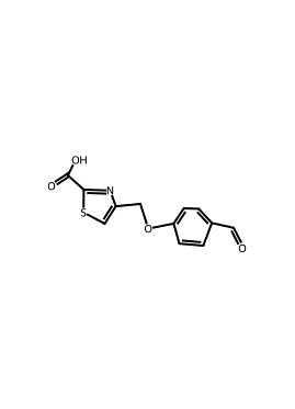 O=Cc1ccc(OCc2csc(C(=O)O)n2)cc1